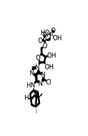 C[C@]12C[C@@H]3C[C@](C)(C1)C[C@@](Nc1nc(Cl)nc4c1ncn4C1OC(COP(=O)(O)CP(=O)(O)O)C(O)C1O)(C3)C2